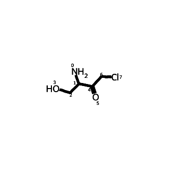 NC(CO)C(=O)CCl